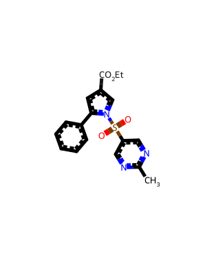 CCOC(=O)c1cc(-c2ccccc2)n(S(=O)(=O)c2cnc(C)nc2)c1